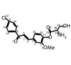 COc1cc(/C=C/C(=O)c2ccc(Cl)cc2)ccc1OC(=O)[C@H](N)CO